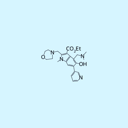 CCOC(=O)c1c(CN2CCOCC2)n(C)c2cc(-c3cccnc3)c(O)c(CN(C)C)c12